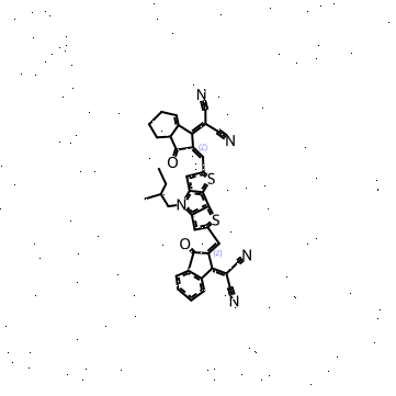 CCC(C)Cn1c2cc(/C=C3\C(=O)C4CCCC=C4C3=C(C#N)C#N)sc2c2sc(/C=C3\C(=O)c4ccccc4C3=C(C#N)C#N)cc21